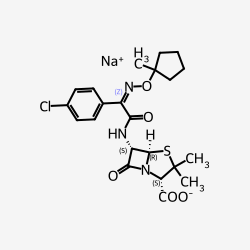 CC1(O/N=C(\C(=O)N[C@H]2C(=O)N3[C@@H]2SC(C)(C)[C@@H]3C(=O)[O-])c2ccc(Cl)cc2)CCCC1.[Na+]